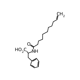 C=CCCCCCCCCC(=O)NC(Cc1ccccc1)C(=O)O